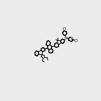 CCCCC1(CCCC)c2ccccc2-c2ccc(-c3c4ccccc4c(-c4ccc5c(c4)C(C)(C)c4cc(N(c6ccc(Cl)cc6)c6ccc(Cl)cc6)ccc4-5)c4ccccc34)cc21